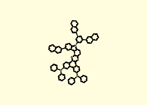 c1ccc(N(c2ccccc2)c2ccc3c(c2)c2cc(N(c4ccccc4)c4ccccc4)ccc2c2nc4c(ccc5c4c4cc(-c6ccc7ccccc7c6)ccc4n5-c4cc(-c5ccc6ccccc6c5)cc(-c5ccc6ccccc6c5)c4)nc32)cc1